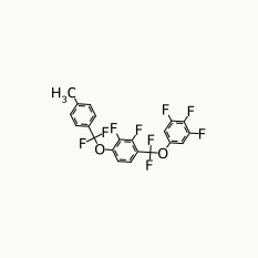 Cc1ccc(C(F)(F)Oc2ccc(C(F)(F)Oc3cc(F)c(F)c(F)c3)c(F)c2F)cc1